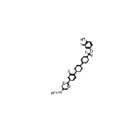 CCCCCC1COC(c2ccc(C3CCC(C4CCC(C(F)(F)Oc5ccc(CCC)c(F)c5)CC4)CC3)c(F)c2)OC1